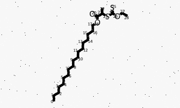 CCCCCCCCCCCCCCCCCCOC(=O)C(C)SC(=S)OCC